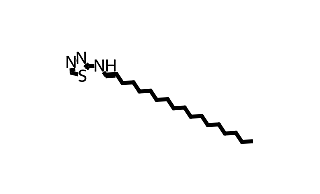 CCCCCCCCCCCCCCCCC=CNc1nncs1